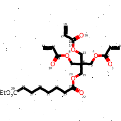 C=CC(=O)OCC(COC(=O)C=C)(COC(=O)C=C)COC(=O)CCCCCCC(=O)OCC